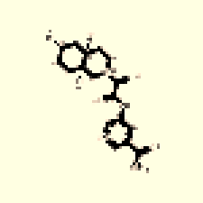 NC(=O)c1cncc(NC(=O)C(=O)N2CC[C@H]3C[C@@H](O)CC[C@@H]3C2)c1